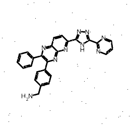 NCc1ccc(-c2nc3nc(-c4nnc(-c5ncccn5)[nH]4)ccc3nc2-c2ccccc2)cc1